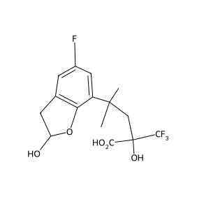 CC(C)(CC(O)(C(=O)O)C(F)(F)F)c1cc(F)cc2c1OC(O)C2